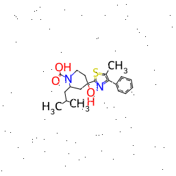 Cc1sc(C2(O)CCN(C(=O)O)C(CC(C)C)C2)nc1-c1ccccc1